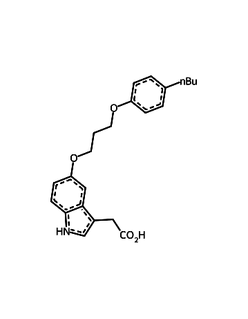 CCCCc1ccc(OCCCOc2ccc3[nH]cc(CC(=O)O)c3c2)cc1